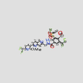 COc1nc(C(F)F)ccc1-c1ccc2cnc(CNC(=O)c3cc(C(F)F)c4c(c3)S(=O)(=O)[C@@H](F)COC4)cc2n1